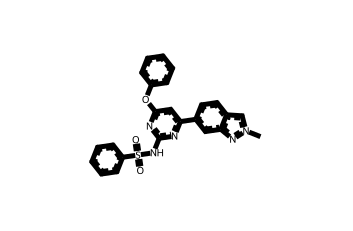 Cn1cc2ccc(-c3cc(Oc4ccccc4)nc(NS(=O)(=O)c4ccccc4)n3)cc2n1